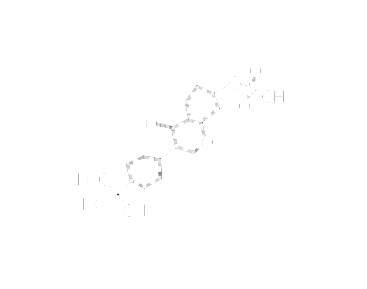 CC(C)(C)c1ccc(-c2coc3cc(OS(C)(=O)=O)ccc3c2=O)cc1